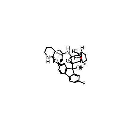 N#C[C@@H](C[C@H]1CCCNC1=O)NC(=O)[C@@H]1[C@H]2CC[C@H](CC2(F)F)N1C(=O)C1(O)c2cc(F)ccc2-c2ccc(F)cc21